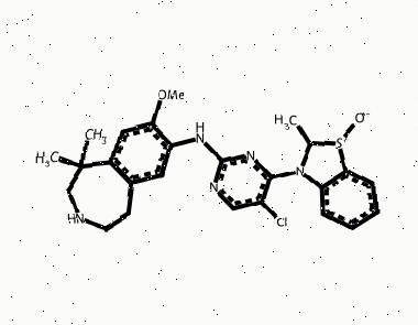 COc1cc2c(cc1Nc1ncc(Cl)c(N3c4ccccc4[S+]([O-])C3C)n1)CCNCC2(C)C